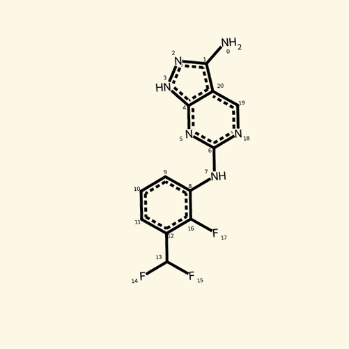 Nc1n[nH]c2nc(Nc3cccc(C(F)F)c3F)ncc12